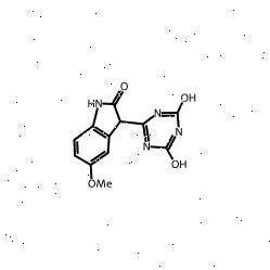 COc1ccc2c(c1)C(c1nc(O)nc(O)n1)C(=O)N2